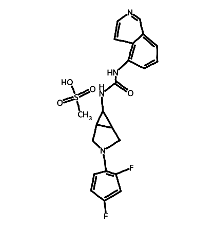 CS(=O)(=O)O.O=C(Nc1cccc2cnccc12)NC1C2CN(c3ccc(F)cc3F)CC21